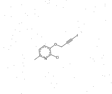 Cc1ccc(OCC#CI)c(Cl)n1